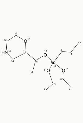 CCC[Si](OCC)(OCC)OC(C)C1CNCCO1